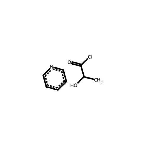 CC(O)C(=O)Cl.c1ccncc1